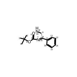 CC(C)(C)OC(=O)N[C@H](CN)c1ccccc1